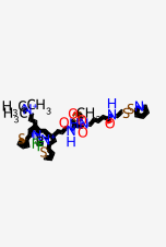 C[N+](C)(C)CCCc1cc(-c2cccs2)n2c1C=C1C(CCC(=O)NC(CS(C)(=O)=O)C(=O)NCCCCC(=O)NCCSSc3ccccn3)=CC(c3cccs3)=[N+]1[B-]2(F)F